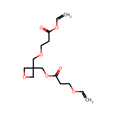 C=COCCC(=O)OCC1(COCCC(=O)OC=C)COC1